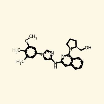 COc1cc(-n2cnc(Nc3cc4ccccc4c(N4CCC[C@H]4CO)n3)c2)cc(C)c1C